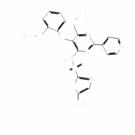 COc1ccccc1Oc1c(NS(=O)(=O)c2ncc(C)s2)nc(-c2ccncc2)nc1OC